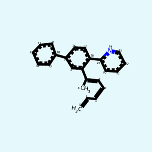 C=C/C=C\C=C(/C)c1cc(-c2ccccc2)ccc1-c1ccccn1